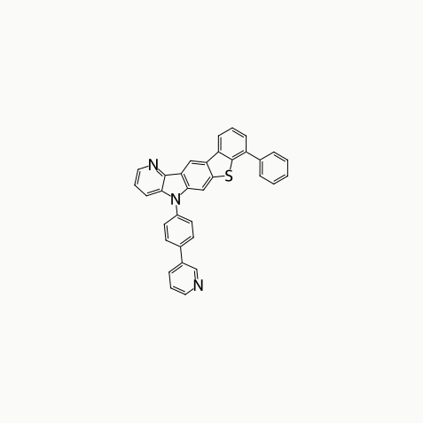 c1ccc(-c2cccc3c2sc2cc4c(cc23)c2ncccc2n4-c2ccc(-c3cccnc3)cc2)cc1